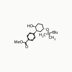 COC(=O)c1ccc([C@@H]2C[C@@H](O[Si](C)(C)C(C)(C)C)CC[C@@H]2O)cc1